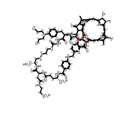 CC[C@H]1c2cc3[nH]c4c(c3C)C(=O)C(C(=O)OC)c4c3nc(cc4[nH]c(cc(n2)[C@@H]1C)c(C(C)=O)c4C)[C@@H](C)[C@@H]3CCC(=O)NC(Cc1ccc(N(CCCl)CCCl)cc1)C(=O)NNC(=O)OCCSSC[C@H](NC(=O)[C@H](CC(=O)NCCS(=O)(=O)O)NC(=O)CC[C@H](NC(=O)c1ccc(NCc2cnc3nc(N)[nH]c(=O)c3n2)cc1)C(=O)O)C(=O)O